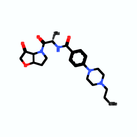 COCCN1CCN(c2ccc(C(=O)N[C@H](C(=O)N3CCC4OCC(=O)C43)C(C)(C)C)cc2)CC1